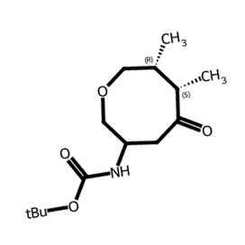 C[C@@H]1C(=O)CC(NC(=O)OC(C)(C)C)COC[C@@H]1C